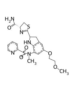 COCCOc1cc2c(c(N(C)S(=O)(=O)c3ccccn3)c1)NC(C1=N[C@H](C(N)=O)CS1)C2